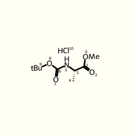 COC(=O)[C@H](C)NC(=O)OC(C)(C)C.Cl